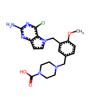 COc1ccc(CN2CCN(C(=O)O)CC2)cc1Cn1ccc2nc(N)nc(Cl)c21